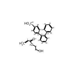 C=CC(=O)OCCO.O=C(O)c1ccc(-c2ccccc2-c2ccccc2)cc1